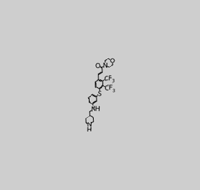 O=C(C=Cc1ccc(Sc2cccc(NCC3CCNCC3)c2)c(C(F)(F)F)c1C(F)(F)F)N1CCOCC1